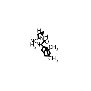 CC12CC3CC(C)(C1)CC([C@H](N)C(=O)N1[C@@H]4C[C@@H]4C[C@@H]1C#N)(C3)C2